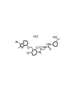 Cc1nc2c(OCc3c(Cl)ccc(N(C)C(=O)CNC(=O)Nc4cccc(C(C)O)c4)c3Cl)cccn2c1Br.Cl